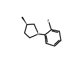 [CH2][C@@H]1CCN(c2ccccc2F)C1